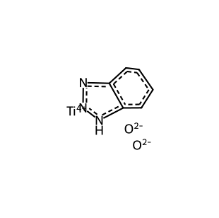 [O-2].[O-2].[Ti+4].c1ccc2[nH]nnc2c1